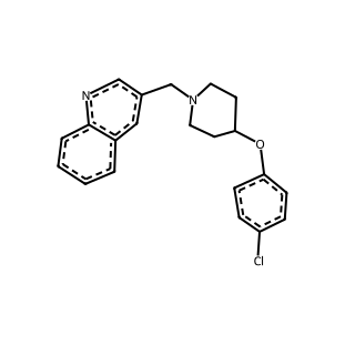 Clc1ccc(OC2CCN(Cc3cnc4ccccc4c3)CC2)cc1